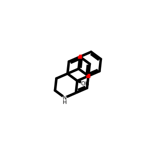 OC12C=CC=CC13CCNC2=Cc1ccccc13